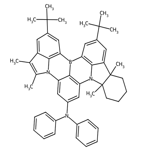 Cc1c(C)n2c3c(cc(C(C)(C)C)cc13)B1c3cc(C(C)(C)C)cc4c3N(c3cc(N(c5ccccc5)c5ccccc5)cc-2c31)C1(C)CCCCC41C